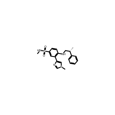 CNS(=O)(=O)c1ccc(NC[C@H](C)c2ccccc2)c(-c2cn(C)cn2)c1